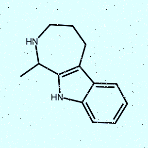 CC1NCCCc2c1[nH]c1ccccc21